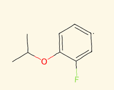 CC(C)Oc1cc[c]cc1F